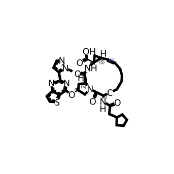 Cn1nccc1-c1nc(O[C@@H]2C[C@H]3C(=O)N[C@]4(C(=O)O)C[C@H]4/C=C\CCCCC[C@H](NC(=O)CC4CCCC4)C(=O)N3C2)c2sccc2n1